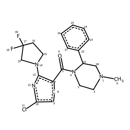 CN1CCN(C(=O)c2ccc(Cl)nc2N2CCC(F)(F)C2)C(c2ccccc2)C1